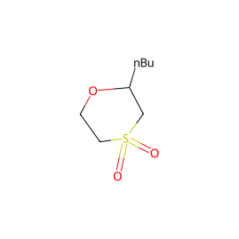 CCCCC1CS(=O)(=O)CCO1